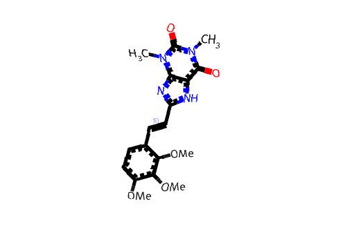 COc1ccc(/C=C/c2nc3c([nH]2)c(=O)n(C)c(=O)n3C)c(OC)c1OC